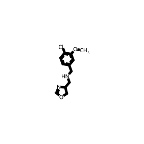 COc1cc(CNCC2CO[C]=N2)ccc1Cl